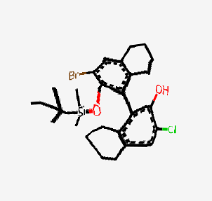 CC(C)(C)[Si](C)(C)Oc1c(Br)cc2c(c1-c1c(O)c(Cl)cc3c1CCCC3)CCCC2